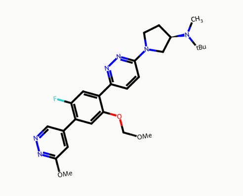 COCOc1cc(-c2cnnc(OC)c2)c(F)cc1-c1ccc(N2CC[C@@H](N(C)C(C)(C)C)C2)nn1